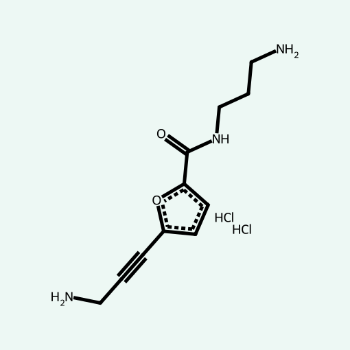 Cl.Cl.NCC#Cc1ccc(C(=O)NCCCN)o1